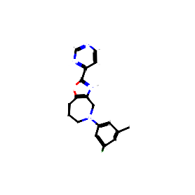 Cc1cc(F)cc(N2CCCc3oc(-c4ccncn4)nc3C2)c1